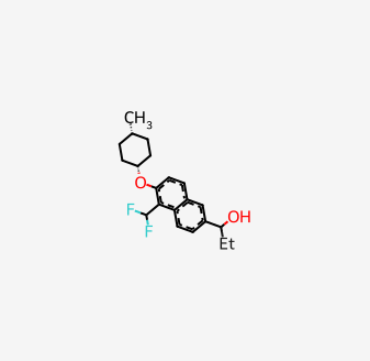 CCC(O)c1ccc2c(C(F)F)c(O[C@H]3CC[C@@H](C)CC3)ccc2c1